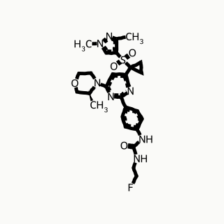 Cc1nn(C)cc1S(=O)(=O)C1(c2cc(N3CCOC[C@@H]3C)nc(-c3ccc(NC(=O)NCCF)cc3)n2)CC1